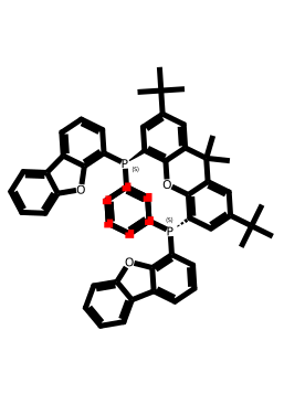 CC(C)(C)c1cc([P@@](c2ccccc2)c2cccc3c2oc2ccccc23)c2c(c1)C(C)(C)c1cc(C(C)(C)C)cc([P@@](c3ccccc3)c3cccc4c3oc3ccccc34)c1O2